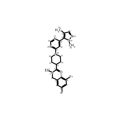 CCN(Cc1cc(F)cc(F)c1)C(=O)C1CCN(c2cc(-c3c(C)cnn3C)ncn2)CC1